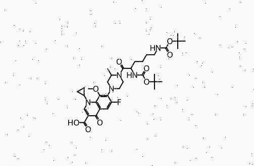 COc1c(N2CCN(C(=O)C(CCCCNC(=O)OC(C)(C)C)NC(=O)OC(C)(C)C)C(C)C2)c(F)cc2c(=O)c(C(=O)O)cn(C3CC3)c12